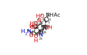 CC(=O)Nc1ccc2c(c1O)C(=O)C1=C(O)[C@]3(O)C(=O)C(C(N)=O)=C(O)[C@@H](N(C)C)[C@@H]3C[C@@H]1[C@]2(C)O